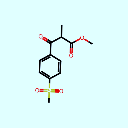 COC(=O)C(C)C(=O)c1ccc(S(C)(=O)=O)cc1